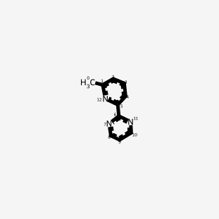 Cc1cccc(-c2ncccn2)n1